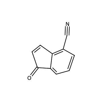 N#Cc1cccc2c1C=CC2=O